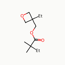 CCC1(COC(=O)C(C)(C)CC)COC1